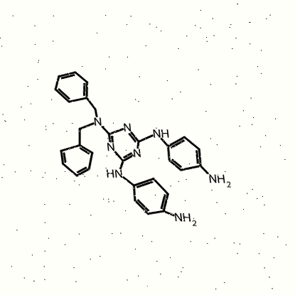 Nc1ccc(Nc2nc(Nc3ccc(N)cc3)nc(N(Cc3ccccc3)Cc3ccccc3)n2)cc1